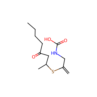 C=C(CNC(=O)O)SC(C)CC(=O)CCCC